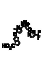 Cc1nc(-c2nnn(C)c2COc2nccc(C(F)F)n2)ccc1OC1CC2CCC(C(=O)O)C2C1